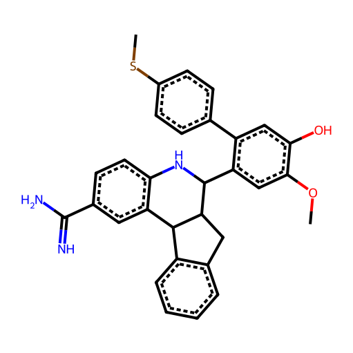 COc1cc(C2Nc3ccc(C(=N)N)cc3C3c4ccccc4CC23)c(-c2ccc(SC)cc2)cc1O